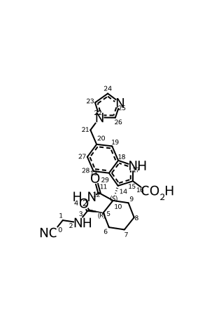 N#CCNC(=O)[C@@H]1CCCC[C@@]1(C(N)=O)c1c(C(=O)O)[nH]c2cc(Cn3ccnc3)ccc12